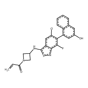 C=CC(=O)N1CC(Nc2snc3c(F)c(-c4cc(O)cc5ccccc45)c(Cl)cc23)C1